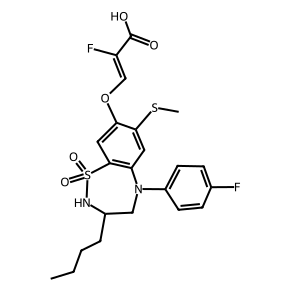 CCCCC1CN(c2ccc(F)cc2)c2cc(SC)c(O/C=C(\F)C(=O)O)cc2S(=O)(=O)N1